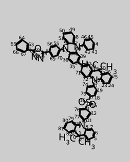 CC1(C)c2ccccc2N(c2ccc(S(=O)(=O)c3ccc(N4c5ccccc5C(C)(C)c5cc(-c6ccc7c(c6)N(c6ccccc6)c6ccccc6N7c6ccc(-c7nnc(-c8ccccc8)o7)cc6)ccc54)cc3)cc2)c2ccccc21